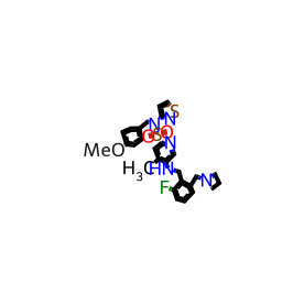 COc1ccc(CN(c2ccsn2)S(=O)(=O)c2cc(C)c(NCc3c(F)cccc3CN3CCC3)cn2)cc1